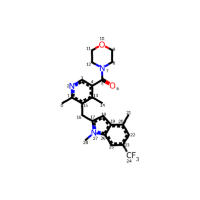 Cc1ncc(C(=O)N2CCOCC2)c(C)c1Cc1cc2c(C)cc(C(F)(F)F)cc2n1C